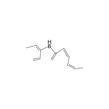 C=C/C(BC(=C)/C=C\C=C/C)=C\C